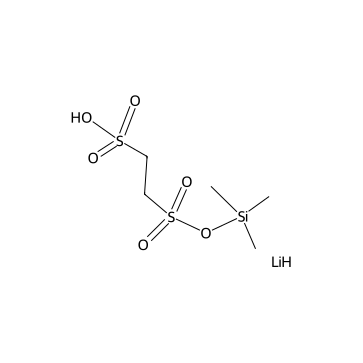 C[Si](C)(C)OS(=O)(=O)CCS(=O)(=O)O.[LiH]